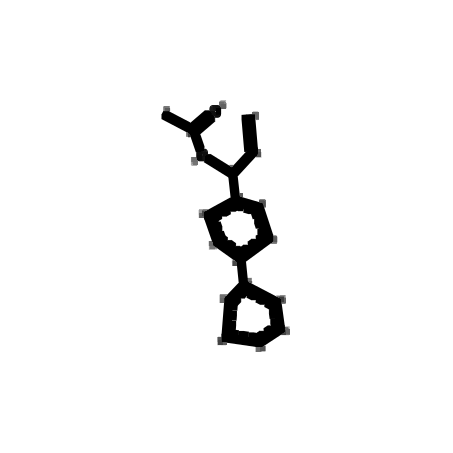 C=CC(OC(C)=O)c1ccc(-c2ccccc2)cc1